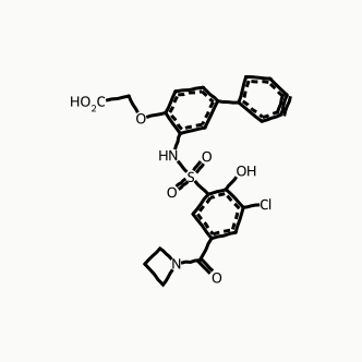 O=C(O)COc1ccc(-c2cc#ccc2)cc1NS(=O)(=O)c1cc(C(=O)N2CCC2)cc(Cl)c1O